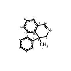 CC1(c2ccccc2)CN=Cc2ccccc21